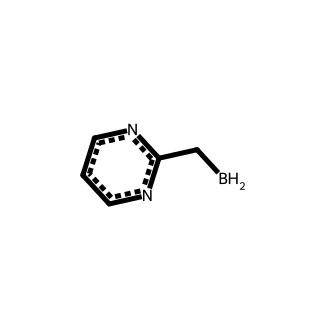 BCc1ncccn1